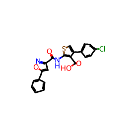 O=C(Nc1scc(-c2ccc(Cl)cc2)c1C(=O)O)c1cc(-c2ccccc2)on1